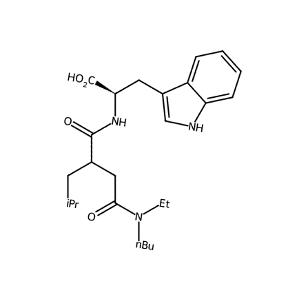 CCCCN(CC)C(=O)CC(CC(C)C)C(=O)N[C@H](Cc1c[nH]c2ccccc12)C(=O)O